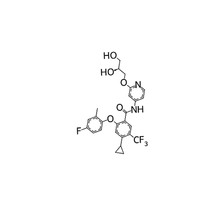 Cc1cc(F)ccc1Oc1cc(C2CC2)c(C(F)(F)F)cc1C(=O)Nc1ccnc(OC[C@@H](O)CO)c1